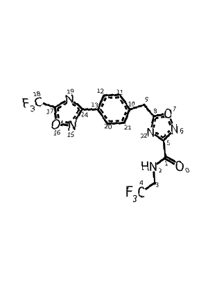 O=C(NCC(F)(F)F)c1noc(Cc2ccc(-c3noc(C(F)(F)F)n3)cc2)n1